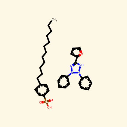 CCCCCCCCCCCCc1ccc(S(=O)(=O)O)cc1.c1ccc(N2N=C(c3ccco3)NN2c2ccccc2)cc1